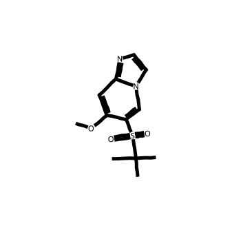 COc1cc2nccn2cc1S(=O)(=O)C(C)(C)C